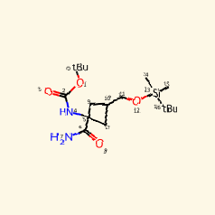 CC(C)(C)OC(=O)NC1(C(N)=O)CC(CO[Si](C)(C)C(C)(C)C)C1